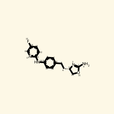 NC1=N[C@@H](CCc2ccc(Nc3ccc(F)cn3)cc2)CO1